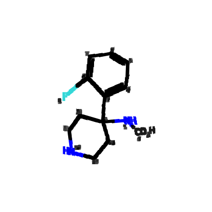 O=C(O)NC1(c2ccccc2F)CCNCC1